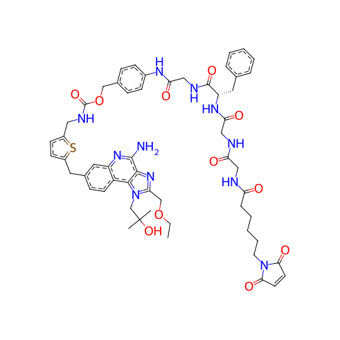 CCOCc1nc2c(N)nc3cc(Cc4ccc(CNC(=O)OCc5ccc(NC(=O)CNC(=O)[C@H](Cc6ccccc6)NC(=O)CNC(=O)CNC(=O)CCCCCN6C(=O)C=CC6=O)cc5)s4)ccc3c2n1CC(C)(C)O